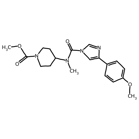 COC(=O)N1CCC(N(C)C(=O)n2cnc(-c3ccc(OC)cc3)c2)CC1